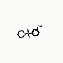 O=S(=O)(c1cccc(OC(F)(F)F)c1)N1CCCCC1